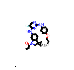 C=CC(=O)N1CC2(CC2)c2ccc(Nc3nc(Nc4ccc(OCCOC)cc4)ncc3F)cc21